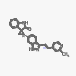 Cc1cc(/C=C/c2n[nH]c3cc([C@@H]4CC45C(=O)Nc4ccccc45)ccc23)ccn1